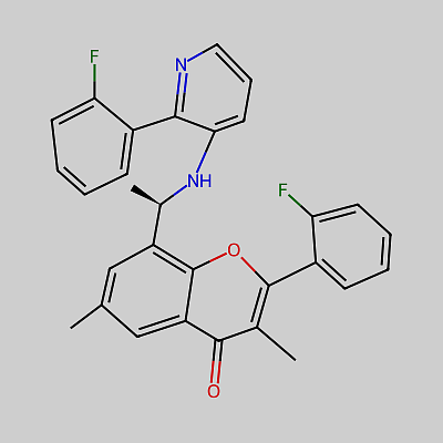 Cc1cc([C@@H](C)Nc2cccnc2-c2ccccc2F)c2oc(-c3ccccc3F)c(C)c(=O)c2c1